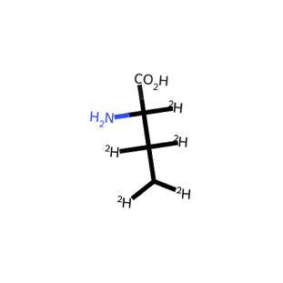 [2H]C([2H])C([2H])([2H])C([2H])(N)C(=O)O